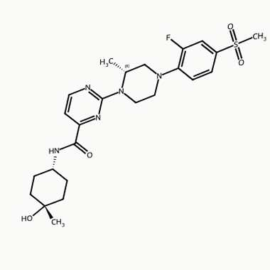 C[C@@H]1CN(c2ccc(S(C)(=O)=O)cc2F)CCN1c1nccc(C(=O)N[C@H]2CC[C@@](C)(O)CC2)n1